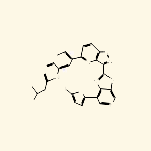 C=C/C(=C\C(=C/C)c1ccc2[nH]nc(-c3nc4c(-c5ccc(Cl)s5)cncc4[nH]3)c2n1)NC(=C)CC(C)C